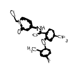 Cc1cc(F)ccc1Oc1cc(C(F)(F)F)ccc1C(=O)Nc1ccn(CCl)c(=O)c1